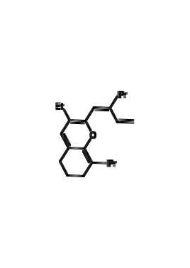 C=C/C(=C\C1=C(CC)C=C2CCCC(C(C)C)=C2O1)C(C)C